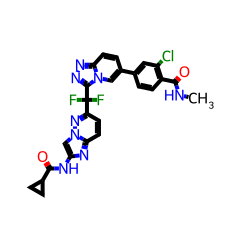 CNC(=O)c1ccc(-c2ccc3nnc(C(F)(F)c4ccc5nc(NC(=O)C6CC6)cn5n4)n3c2)cc1Cl